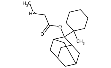 CPCC(=O)OC1(C2(C)CCCCC2)C2CC3CC(C2)CC1C3